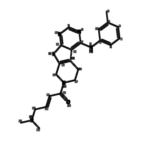 Cc1cccc(Nc2ncnc3sc4c(c23)CCN(C(=O)/C=C/CN(C)C)C4)c1